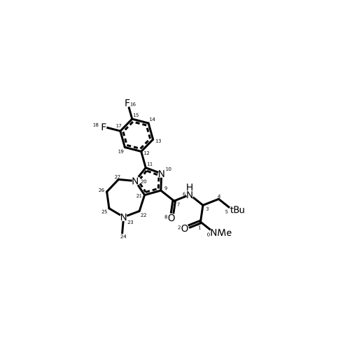 CNC(=O)C(CC(C)(C)C)NC(=O)c1nc(-c2ccc(F)c(F)c2)n2c1CN(C)CCC2